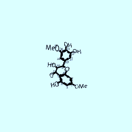 COc1cc(O)c2c(c1)OC(c1cc(O)c(O)c(OC)c1)C(O)C2=O